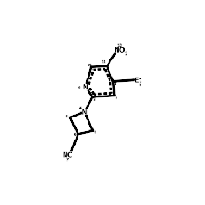 CCc1cc(N2CC(C#N)C2)ncc1[N+](=O)[O-]